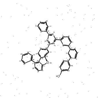 Cc1ccc(-c2cccc(-c3cccc(-c4nc(-c5ccccc5)nc(-c5ccc6c(c5)oc5cccc(-c7ccccc7)c56)n4)c3)c2)cc1